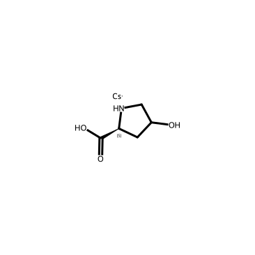 O=C(O)[C@@H]1CC(O)CN1.[Cs]